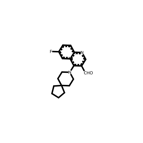 O=Cc1cnc2ccc(F)cc2c1N1CCC2(CCCC2)CC1